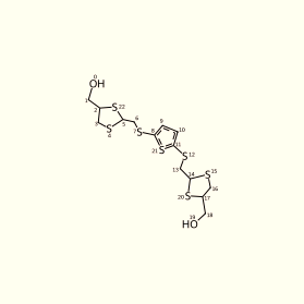 OCC1CSC(CSc2ccc(SCC3SCC(CO)S3)s2)S1